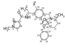 CC(NC(=O)c1ccn(C)n1)c1cc(F)c(CN2[C@@H](C)CC[C@H](c3ccccc3)S2(=O)=O)cc1F